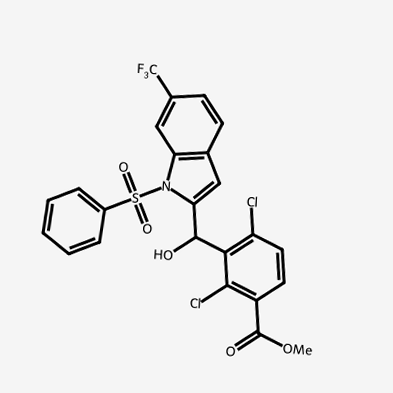 COC(=O)c1ccc(Cl)c(C(O)c2cc3ccc(C(F)(F)F)cc3n2S(=O)(=O)c2ccccc2)c1Cl